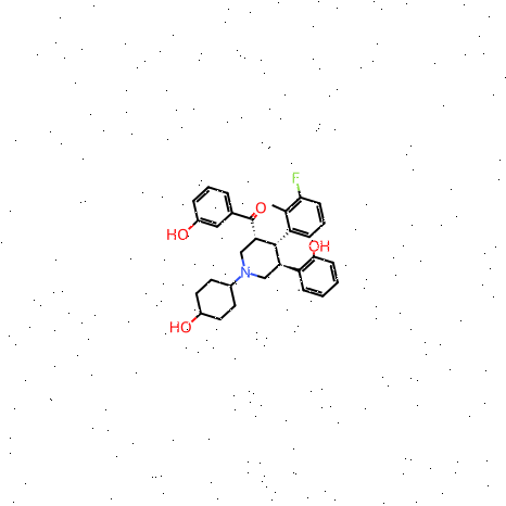 Cc1c(F)cccc1[C@H]1[C@@H](C(=O)c2cccc(O)c2)CN(C2CCC(O)CC2)C[C@@H]1c1[c]cccc1O